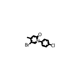 Cc1cc(=O)n(-c2ccc(Cl)cc2)cc1Br